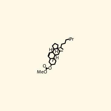 COC(=O)OC1CC[C@]2(C)C(C=C[C@@H]3[C@H]4CCC[C@]4(C(C)CCCC(C)C)[C@@H](C)C[C@H]32)C1